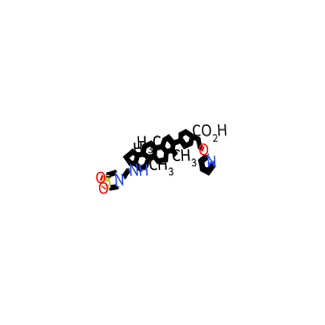 CC1C(C2=CCC(CCOc3ccccn3)(C(=O)O)CC2)=CCC2(C)C1CCC1(C)C3CCC4(NCCN5CCS(=O)(=O)CC5)CCC[C@@H]4C3CCC21